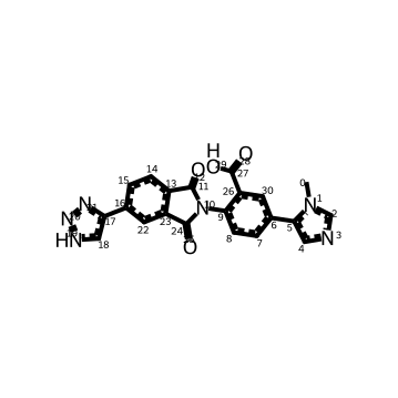 Cn1cncc1-c1ccc(N2C(=O)c3ccc(-c4c[nH]nn4)cc3C2=O)c(C(=O)O)c1